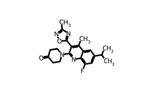 Cc1noc(-c2c(N3CCC(=O)CC3)nc3c(F)cc(C(C)C)cc3c2C)n1